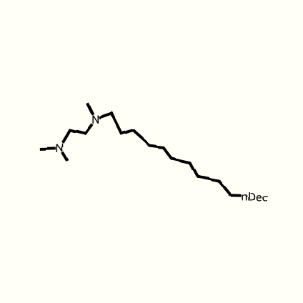 CCCCCCCCCCCCCCCCCCCCN(C)CCN(C)C